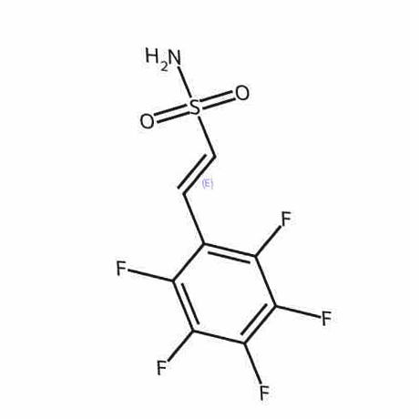 NS(=O)(=O)/C=C/c1c(F)c(F)c(F)c(F)c1F